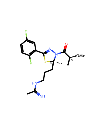 CO[C@@H](C)C(=O)N1N=C(c2cc(F)ccc2F)S[C@]1(C)CCCNC(C)=N